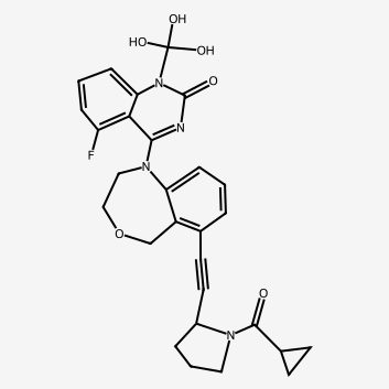 O=C(C1CC1)N1CCCC1C#Cc1cccc2c1COCCN2c1nc(=O)n(C(O)(O)O)c2cccc(F)c12